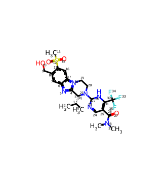 CC(C)[C@@H]1c2nc3cc(CO)c(S(C)(=O)=O)cc3n2CCN1C1N=CC(C(=O)N(C)C)=C(C(F)(F)F)N1